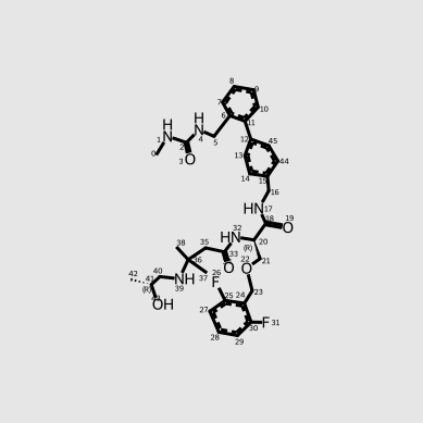 CNC(=O)NCc1ccccc1-c1ccc(CNC(=O)[C@@H](COCc2c(F)cccc2F)NC(=O)CC(C)(C)NC[C@@H](C)O)cc1